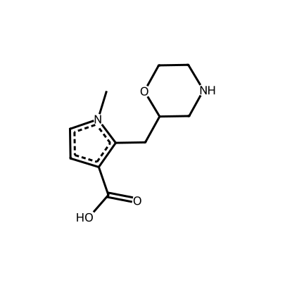 Cn1ccc(C(=O)O)c1CC1CNCCO1